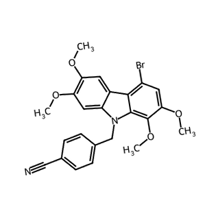 COc1cc2c3c(Br)cc(OC)c(OC)c3n(Cc3ccc(C#N)cc3)c2cc1OC